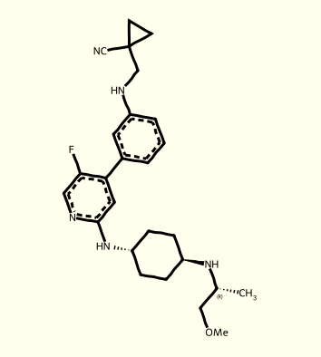 COC[C@@H](C)N[C@H]1CC[C@H](Nc2cc(-c3cccc(NCC4(C#N)CC4)c3)c(F)cn2)CC1